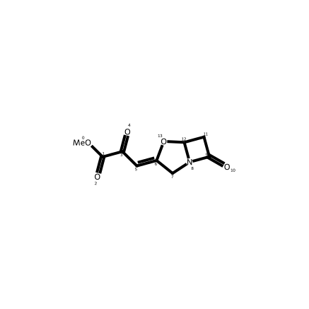 COC(=O)C(=O)C=C1CN2C(=O)CC2O1